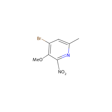 COc1c(Br)cc(C)nc1[N+](=O)[O-]